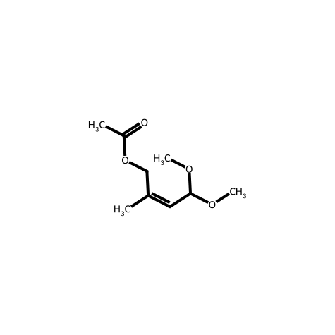 COC(C=C(C)COC(C)=O)OC